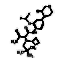 CC(C)(C)CN(C1CCC1)[C@@H](C(N)=O)C(=O)Nc1ccc(N2CCOCC2=O)cc1OC(F)F